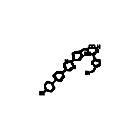 CC[C@H]1CC[C@H](c2ccc(-c3cnc(-c4ccc(C[C@H](NC(=O)c5ccc(CC(C)C)s5)C(=O)O)cc4)nc3)cc2)CC1